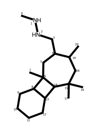 CNNCC1CC2(C)C3CCCCC3C2C(C)(C)CC1C